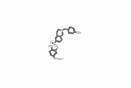 CCCCCCCc1ccc(NS(=O)(=O)C2=CCC3CN(Cc4ccc(C(C)(C)C)cc4)CCC3=C2)c(F)c1